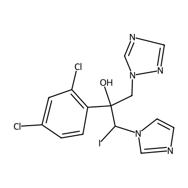 OC(Cn1cncn1)(c1ccc(Cl)cc1Cl)C(I)n1ccnc1